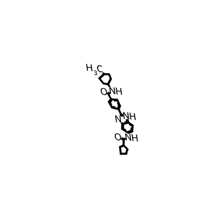 CC1CCC(NC(=O)c2ccc(-c3nc4cc(NC(=O)C5CCCC5)ccc4[nH]3)cc2)CC1